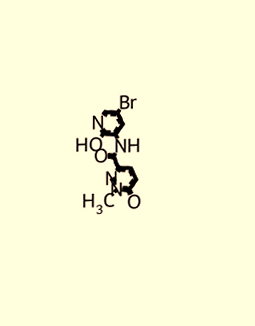 Cn1nc(C(=O)Nc2cc(Br)cnc2O)ccc1=O